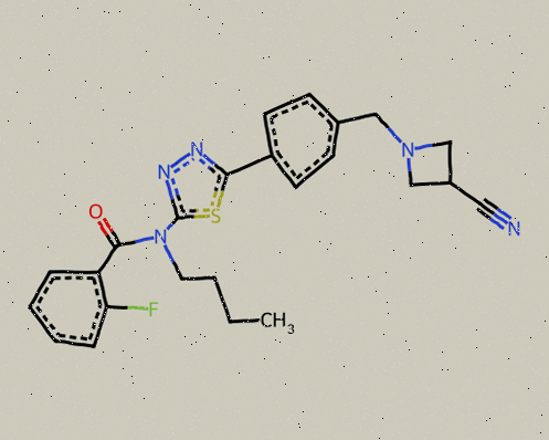 CCCCN(C(=O)c1ccccc1F)c1nnc(-c2ccc(CN3CC(C#N)C3)cc2)s1